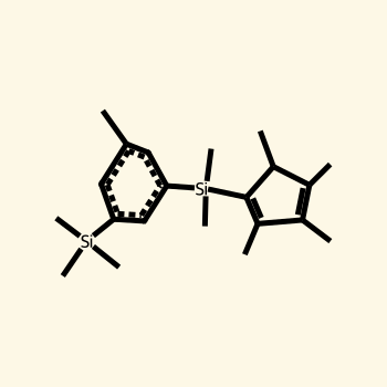 CC1=C(C)C(C)C([Si](C)(C)c2cc(C)cc([Si](C)(C)C)c2)=C1C